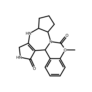 COc1ccccc1C1C2=C(CNC2=O)NC2CCCC2N1C(C)=O